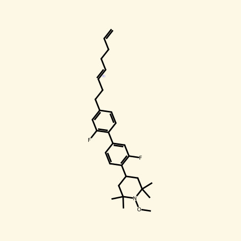 C=CCC/C=C/CCc1ccc(-c2ccc(C3CC(C)(C)N(OC)C(C)(C)C3)c(F)c2)c(F)c1